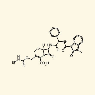 CCNC(=O)OCC1=C(C(=O)O)N2C(=O)C(NC(=O)C(NC(=O)n3c(=O)n(C)c4ccccc43)c3ccccc3)[C@@H]2SC1